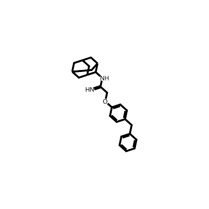 N=C(COc1ccc(Cc2ccccc2)cc1)NC1C2CC3CC(C2)CC1C3